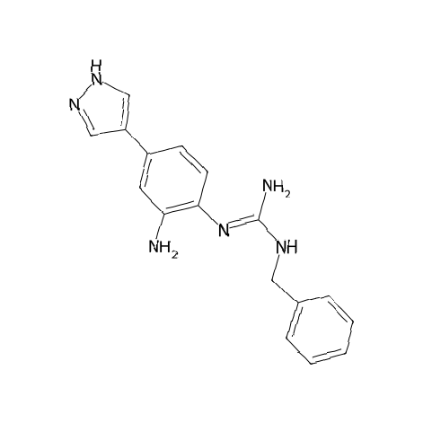 N/C(=N\c1ccc(-c2cn[nH]c2)cc1N)NCc1ccccc1